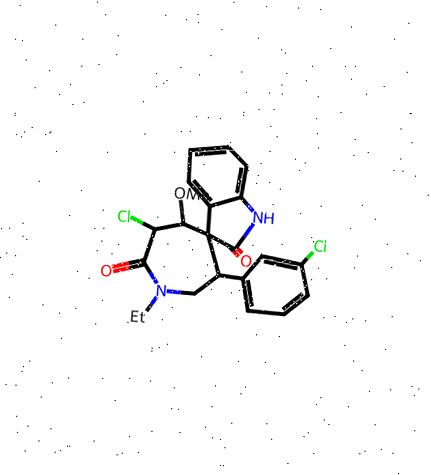 CCN1CC(c2cccc(Cl)c2)C2(C(=O)Nc3ccccc32)C(OC)C(Cl)C1=O